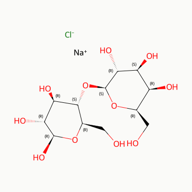 OC[C@H]1O[C@@H](O[C@H]2[C@H](O)[C@@H](O)[C@H](O)O[C@@H]2CO)[C@H](O)[C@@H](O)[C@H]1O.[Cl-].[Na+]